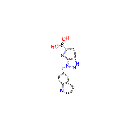 OB(O)c1ccc2nnn(Cc3ccc4ncccc4c3)c2n1